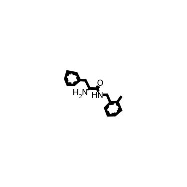 Cc1ccccc1CNC(=O)[C@@H](N)Cc1ccccc1